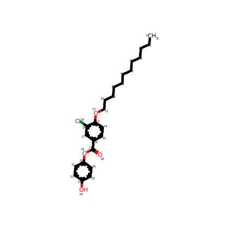 CCCCCCCCCCCCOc1ccc(C(=O)Oc2ccc(O)cc2)cc1Cl